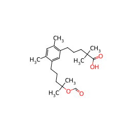 Cc1cc(C)c(CCCC(C)(C)C(=O)O)cc1CCCC(C)(C)OC=O